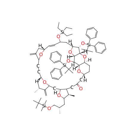 C=C1C[C@@H]2/C=C/C(O[Si](CC)(CC)CC)C[C@H]3O[C@H]4[C@@H](O[Si](c5ccccc5)(c5ccccc5)C(C)(C)C)[C@H]5O[C@H](CC[C@@H]5O[C@H]4[C@H]3O[Si](c3ccccc3)(c3ccccc3)C(C)(C)C)CC(=O)CC3[C@@H](C)C(C[C@H](C)CO[Si](C)(C)C(C)(C)C)O[C@H]3CC3O[C@@H](CCC1O2)C[C@@H](C)C3=C